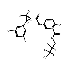 O=C(NCC(F)(F)C(F)(F)C(F)(F)F)c1cc(NC(=O)[C@@H]2[C@@H](c3cc(Cl)cc(Cl)c3)C2(Cl)Cl)ccc1Cl